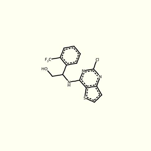 OCC(Nc1nc(Cl)nc2ccsc12)c1ccccc1C(F)(F)F